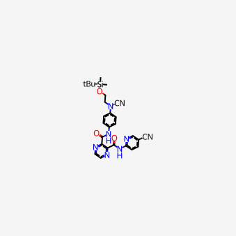 CC(C)(C)[Si](C)(C)OCCN(C#N)c1ccc(NC(=O)c2nccnc2C(=O)Nc2ccc(C#N)cn2)cc1